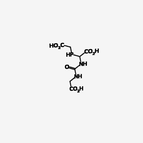 O=C(O)CNC(=O)NC(PCC(=O)O)C(=O)O